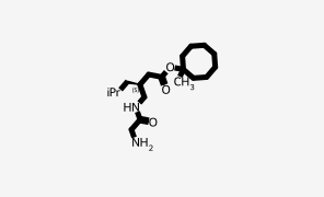 CC(C)C[C@H](CNC(=O)CN)CC(=O)OC1(C)CCCCCCC1